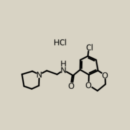 Cl.O=C(NCCN1CCCCC1)c1cc(Cl)cc2c1OCCO2